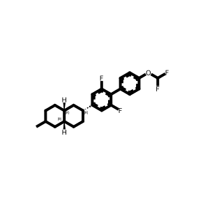 CC1CC[C@@H]2C[C@H](c3cc(F)c(-c4ccc(OC(F)F)cc4)c(F)c3)CC[C@@H]2C1